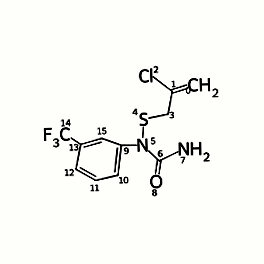 C=C(Cl)CSN(C(N)=O)c1cccc(C(F)(F)F)c1